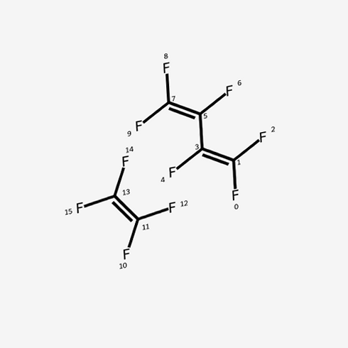 FC(F)=C(F)C(F)=C(F)F.FC(F)=C(F)F